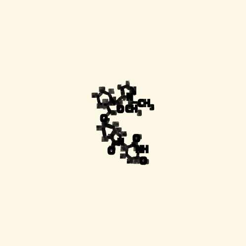 CC(C)n1nccc1C(=O)N1CCCC[C@@H]1COc1ccc2c(c1)CN(C1CCC(=O)NC1=O)C2=O